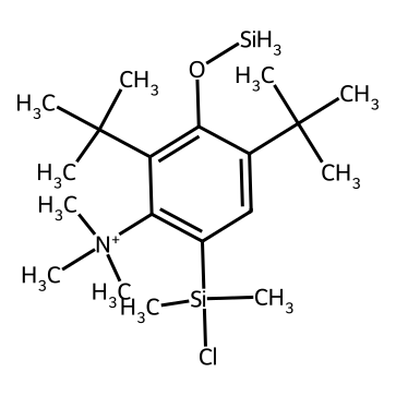 CC(C)(C)c1cc([Si](C)(C)Cl)c([N+](C)(C)C)c(C(C)(C)C)c1O[SiH3]